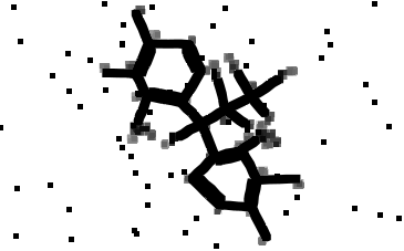 Cc1ccc(C(F)(c2ccc(C)c(C)c2N)C(F)(F)C(F)(F)F)c(N)c1C